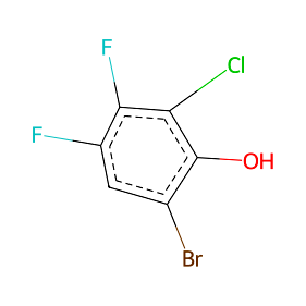 Oc1c(Br)cc(F)c(F)c1Cl